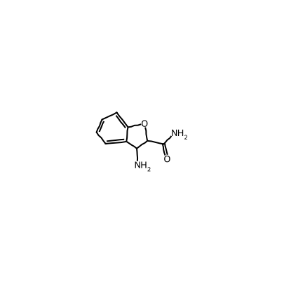 NC(=O)C1Oc2ccccc2C1N